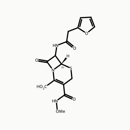 CONC(=O)C1=C(C(=O)O)N2C(=O)C(NC(=O)Cc3ccco3)[C@@H]2SC1